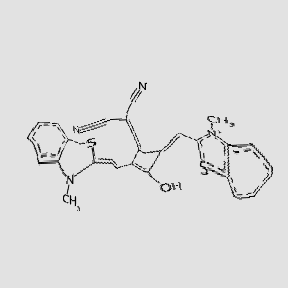 CN1/C(=C/C2=C(O)C(=C\c3sc4ccccc4[n+]3C)/C2=C(C#N)C#N)Sc2ccccc21